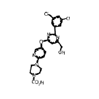 O=C(O)N1CCN(c2ccc(Oc3cc(CO)nc(-c4cc(Cl)cc(Cl)c4)n3)cn2)CC1